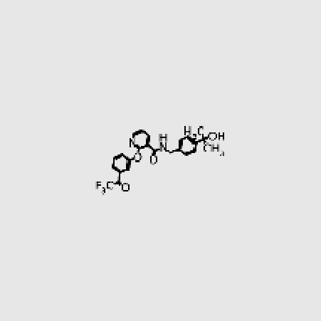 CC(C)(O)c1ccc(CNC(=O)c2cccnc2Oc2cccc(C(=O)C(F)(F)F)c2)cc1